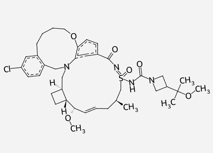 CO[C@H]1/C=C/C[C@H](C)CS(=O)(NC(=O)N2CC(C(C)(C)OC)C2)=NC(=O)c2ccc3c(c2)N(Cc2ccc(Cl)cc2CCCCO3)C[C@@H]2CC[C@H]21